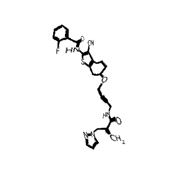 C=C(Cn1cccn1)C(=O)NCC#CCOC1CCc2c(sc(NC(=O)c3ccccc3F)c2C#N)C1